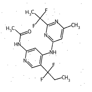 CCC(F)(F)c1cnc(NC(C)=O)cc1Nc1cc(C)nc(C(C)(F)F)n1